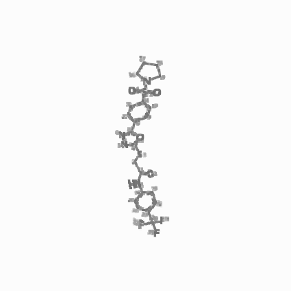 O=C(CSc1nnc(-c2ccc(S(=O)(=O)N3CCCC3)cc2)o1)Nc1ccc(C(F)(F)F)cc1